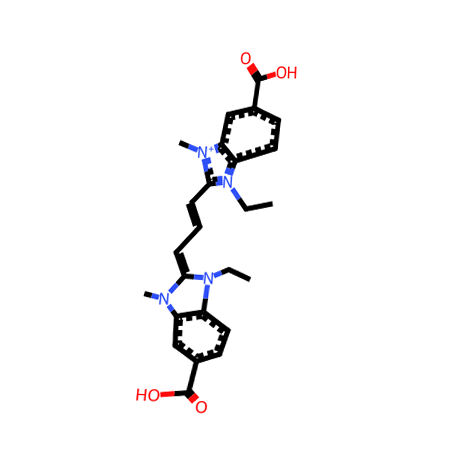 CCN1C(=CC=Cc2n(CC)c3ccc(C(=O)O)cc3[n+]2C)N(C)c2cc(C(=O)O)ccc21